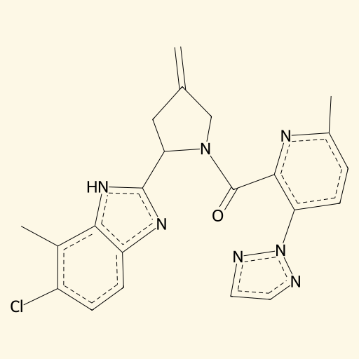 C=C1CC(c2nc3ccc(Cl)c(C)c3[nH]2)N(C(=O)c2nc(C)ccc2-n2nccn2)C1